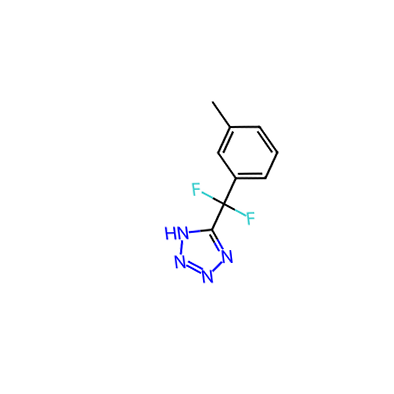 Cc1cccc(C(F)(F)c2nnn[nH]2)c1